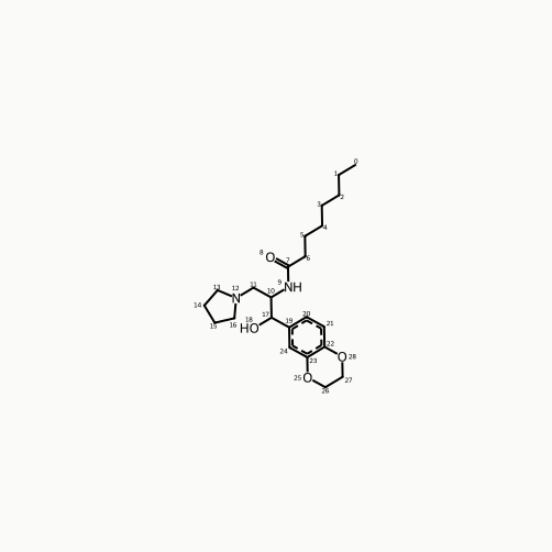 CCCCCCCC(=O)NC(CN1CCCC1)C(O)c1ccc2c(c1)OCCO2